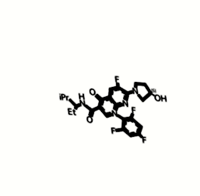 CCC(NC(=O)c1cn(-c2c(F)cc(F)cc2F)c2nc(N3CC[C@H](O)C3)c(F)cc2c1=O)C(C)C